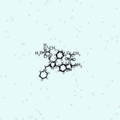 CC(OCn1c(CN2CCCCC2)nc(-c2ccc3nc(N)n(S(=O)(=O)C(C)C)c3c2)c1-c1ccccc1)[Si](C)(C)C